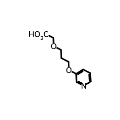 O=C(O)COCCCOc1cccnc1